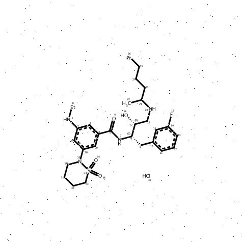 CCNc1cc(C(=O)N[C@@H](Cc2cccc(F)c2)[C@H](O)CNC(C)CCCC(C)C)cc(N2CCCCS2(=O)=O)c1.Cl